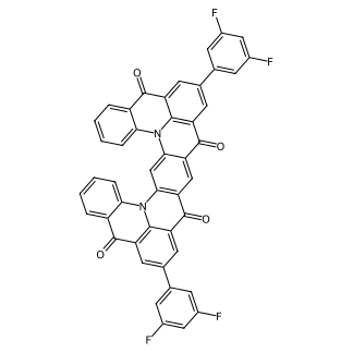 O=c1c2ccccc2n2c3cc4c(cc3c(=O)c3cc(-c5cc(F)cc(F)c5)cc1c32)c(=O)c1cc(-c2cc(F)cc(F)c2)cc2c(=O)c3ccccc3n4c21